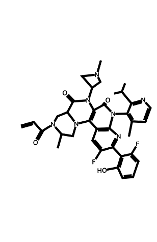 C=CC(=O)N1CC2C(=O)N(C3CN(C)C3)c3c(c4cc(F)c(-c5c(O)cccc5F)nc4n(-c4c(C)ccnc4C(C)C)c3=O)N2CC1C